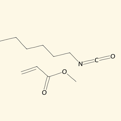 C=CC(=O)OC.CCCCCCN=C=O